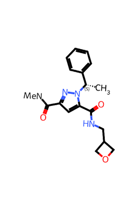 CNC(=O)c1cc(C(=O)NCC2COC2)n([C@@H](C)c2ccccc2)n1